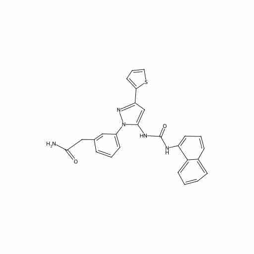 NC(=O)Cc1cccc(-n2nc(-c3cccs3)cc2NC(=O)Nc2cccc3ccccc23)c1